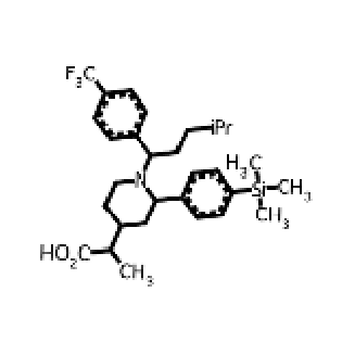 CC(C)CCC(c1ccc(C(F)(F)F)cc1)N1CCC(C(C)C(=O)O)CC1c1ccc([Si](C)(C)C)cc1